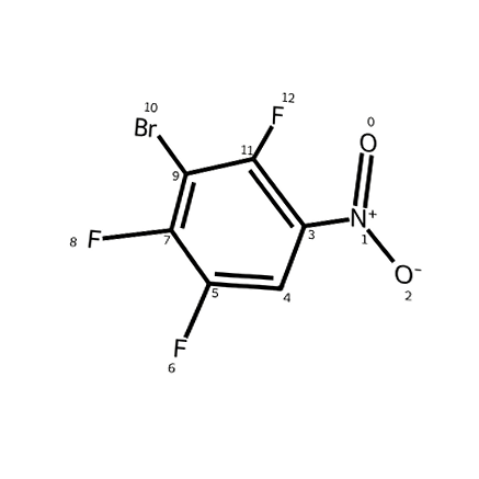 O=[N+]([O-])c1cc(F)c(F)c(Br)c1F